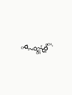 COc1ccc2nccc([C@@H](F)CC[C@@H]3CCN(CCSc4cccc(Cl)c4)C[C@@H]3C(=O)O)c2c1